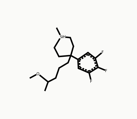 COC(C)CCCC1(c2cc(F)c(F)c(F)c2)CC[SiH](C)CC1